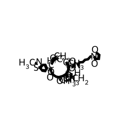 C=CC[C@H]1C(=O)C(C)(C)[C@@H](O)CC(=O)O[C@H](c2ccc3sc(C)nc3c2)C[C@@H]2O[C@]2(C)CCC[C@H](C)[C@@H]1OC(=O)NCCCCCN1C(=O)C=CC1=O